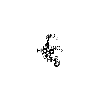 CC1=C(C(=O)OCCCO[N+](=O)[O-])C(c2cccc([N+](=O)[O-])c2)C(C(=O)OCCNC(=O)c2ccccn2)=C(C)N1